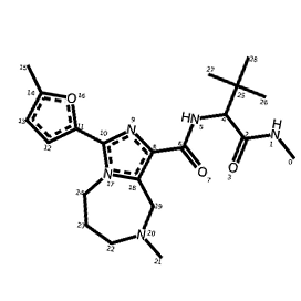 CNC(=O)C(NC(=O)c1nc(-c2ccc(C)o2)n2c1CN(C)CCC2)C(C)(C)C